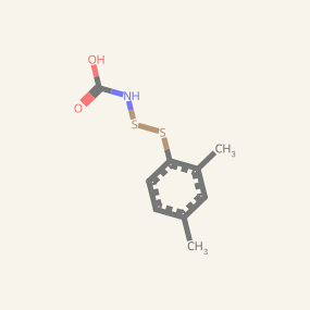 Cc1ccc(SSNC(=O)O)c(C)c1